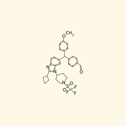 COc1ccc(C(c2ccc(C=O)cc2)c2ccc3nc(C4CCC4)n(C4CCN(S(=O)(=O)C(F)(F)F)CC4)c3c2)cc1